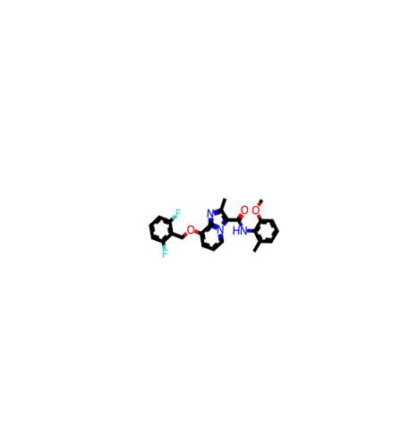 COc1cccc(C)c1NC(=O)c1c(C)nc2c(OCc3c(F)cccc3F)cccn12